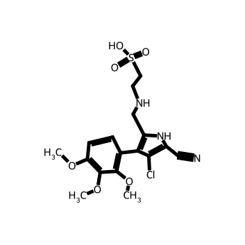 COc1ccc(-c2c(CNCCS(=O)(=O)O)[nH]c(C#N)c2Cl)c(OC)c1OC